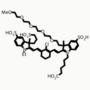 CCN1/C(=C/C=C2\CCCC(/C=C/C3=[N+](CCCCCC(=O)O)c4ccc(S(=O)(=O)O)cc4C3(C)CCOCCOCCOCCOCCOC)=C2Cl)C(C)(CCCS(=O)(=O)O)c2cc(S(=O)(=O)O)ccc21